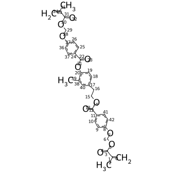 C=C(C)C(=O)OCOc1ccc(C(=O)OCCc2ccc(OC(=O)c3ccc(OCOC(=O)C(=C)C)cc3)c(C)c2)cc1